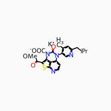 COC(=O)c1sc2nccc3c2c1N(C(=O)[O-])C(=O)N3c1cnc(CC(C)C)cc1C.[K+]